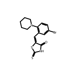 O=C1NC(=S)SC1=Cc1cc(Br)ccc1N1CCCCC1